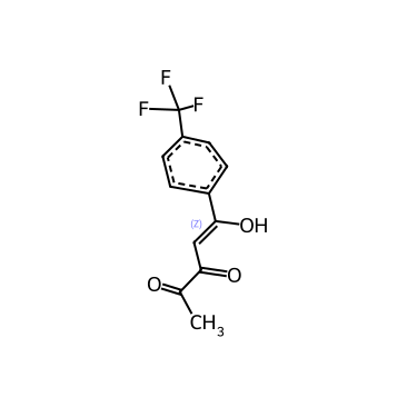 CC(=O)C(=O)/C=C(\O)c1ccc(C(F)(F)F)cc1